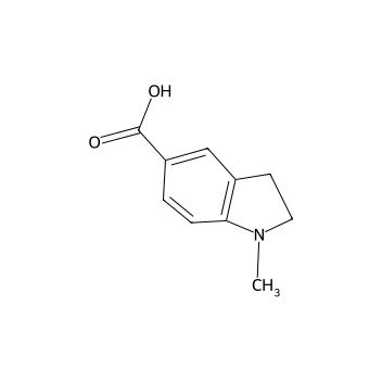 CN1CCc2cc(C(=O)O)ccc21